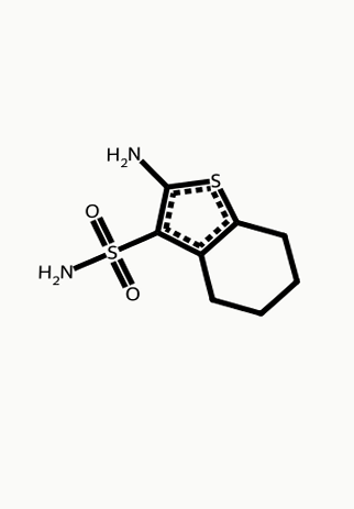 Nc1sc2c(c1S(N)(=O)=O)CCCC2